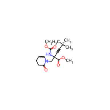 COC(=O)NC(C#C[Si](C)(C)C)(CN1C=CCCC1=O)C(=O)OC